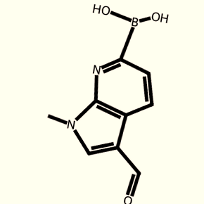 Cn1cc(C=O)c2ccc(B(O)O)nc21